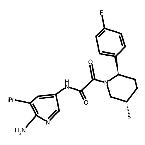 CC(C)c1cc(NC(=O)C(=O)N2C[C@@H](C)CC[C@@H]2c2ccc(F)cc2)cnc1N